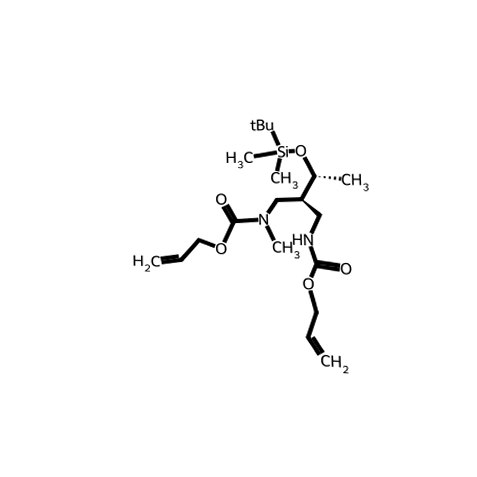 C=CCOC(=O)NC[C@@H](CN(C)C(=O)OCC=C)[C@@H](C)O[Si](C)(C)C(C)(C)C